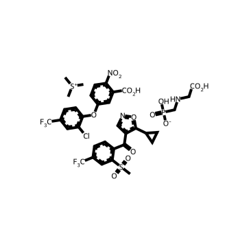 CS(=O)(=O)c1cc(C(F)(F)F)ccc1C(=O)c1cnoc1C1CC1.C[S+](C)C.O=C(O)CNCP(=O)([O-])O.O=C(O)c1cc(Oc2ccc(C(F)(F)F)cc2Cl)ccc1[N+](=O)[O-]